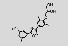 CCCc1cc(-c2nc(-c3cc(C)c(OCC(O)CO)c(C)c3)no2)cc(C)n1